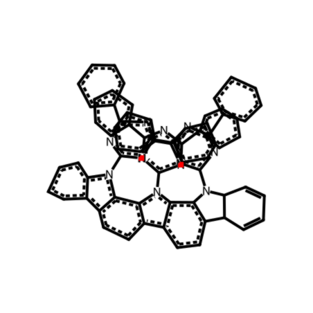 C1=CC2c3ccc4c5ccc6c7ccccc7n(-c7nc(-c8ccccc8)nc(-c8ccccc8)n7)c6c5n(-c5nc(-c6ccccc6)nc(-c6ccccc6)n5)c4c3N(c3nc(-c4ccccc4)nc(-c4ccccc4)n3)C2C=C1